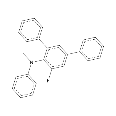 CN(c1ccccc1)c1c(F)cc(-c2ccccc2)cc1-c1ccccc1